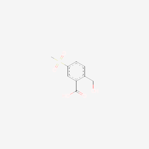 CS(=O)(=O)c1ccc(CO)c(C(=O)O)c1